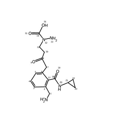 NCc1cccc(CC(=O)CCN(N)C(=O)O)c1C(=O)NC1CC1